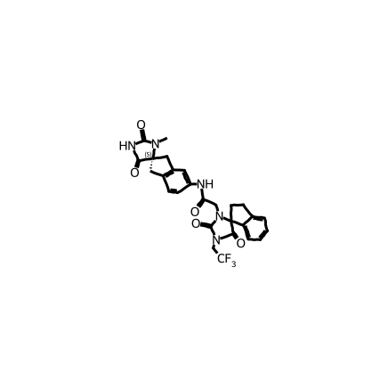 CN1C(=O)NC(=O)[C@@]12Cc1ccc(NC(=O)CN3C(=O)N(CC(F)(F)F)C(=O)C34CCc3ccccc34)cc1C2